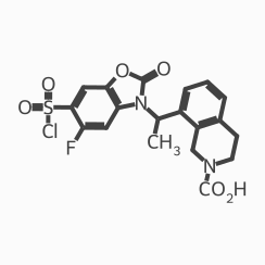 CC(c1cccc2c1CN(C(=O)O)CC2)n1c(=O)oc2cc(S(=O)(=O)Cl)c(F)cc21